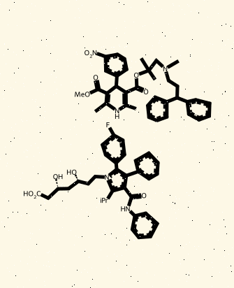 CC(C)c1c(C(=O)Nc2ccccc2)c(-c2ccccc2)c(-c2ccc(F)cc2)n1CC[C@@H](O)C[C@@H](O)CC(=O)O.COC(=O)C1=C(C)NC(C)=C(C(=O)OC(C)(C)CN(C)CCC(c2ccccc2)c2ccccc2)C1c1cccc([N+](=O)[O-])c1